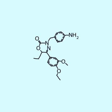 CCOc1ccc(C2=NN(Cc3ccc(N)cc3)C(=O)OC2CC)cc1OC